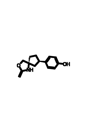 C=C1N[C@@]2(CC[C@@H](c3ccc(O)cc3)C2)CO1